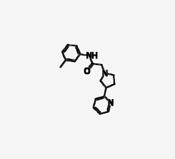 Cc1cccc(NC(=O)CN2CCC(c3ccccn3)C2)c1